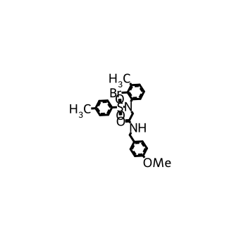 COc1ccc(CNC(=O)CN(c2cccc(C)c2Br)S(=O)(=O)c2ccc(C)cc2)cc1